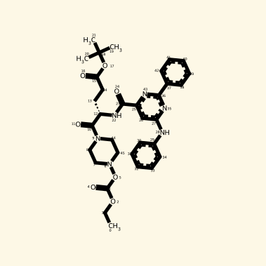 CCOC(=O)ON1CCN(C(=O)[C@H](CCC(=O)OC(C)(C)C)NC(=O)c2cc(Nc3ccccc3)nc(-c3ccccc3)n2)CC1